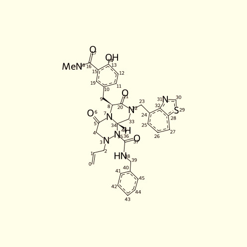 C=CCN1CC(=O)N2[C@@H](Cc3ccc(O)c(C(=O)NC)c3)C(=O)N(Cc3cccc4scnc34)C[C@@H]2N1C(=O)NCc1ccccc1